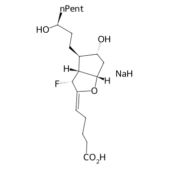 CCCCC[C@H](O)CC[C@@H]1[C@@H]2[C@H](C[C@H]1O)O/C(=C\CCCC(=O)O)[C@@H]2F.[NaH]